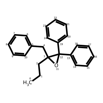 CCCC1(Cc2ccccc2)OC1(c1ccccc1)c1ccccc1